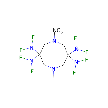 CN1CC(N(F)F)(N(F)F)CN([N+](=O)[O-])CC(N(F)F)(N(F)F)C1